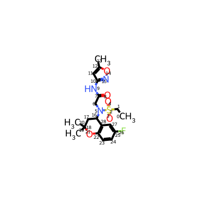 CCS(=O)(=O)N(CC(=O)Nc1cc(C)on1)C1CC(C)(C)Oc2ccc(F)cc21